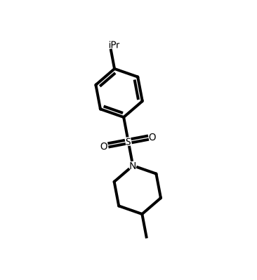 CC1CCN(S(=O)(=O)c2ccc(C(C)C)cc2)CC1